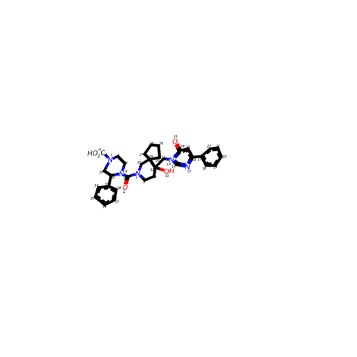 O=C(O)N1CCN(C(=O)N2CCC(O)(Cn3cnc(-c4ccccc4)cc3=O)C3(CCCC3)C2)C(c2ccccc2)C1